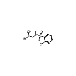 CC[C@@H](O)CNS(=O)(=O)c1cccnc1Cl